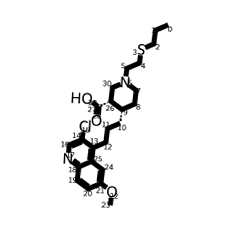 CCCSCCN1CC[C@H](CCCc2c(Cl)cnc3ccc(OC)cc23)[C@H](C(=O)O)C1